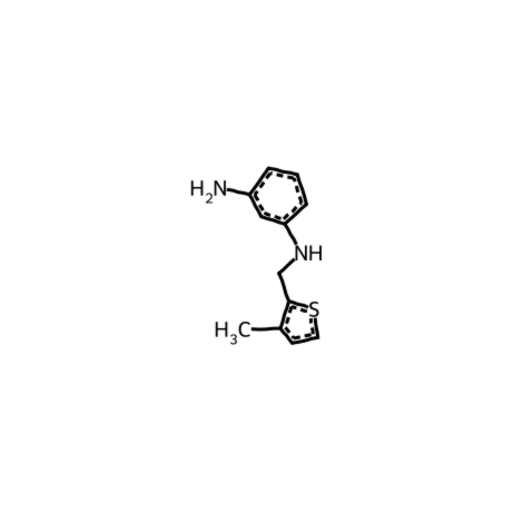 Cc1ccsc1CNc1cccc(N)c1